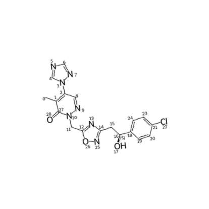 Cc1c(-n2cncn2)cnn(Cc2nc(C[C@H](O)c3ccc(Cl)cc3)no2)c1=O